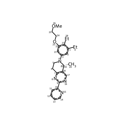 CCc1cc(N2CCc3nc(-c4ccccn4)ncc3[C@H]2C)cc(OCCOC)c1CC